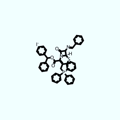 O=C(OC(c1ccccc1)c1ccccc1)C1=C(C[P+](c2ccccc2)(c2ccccc2)c2ccccc2)CS[C@@H]2C(N=Cc3ccccc3)C(=O)N12.[I-]